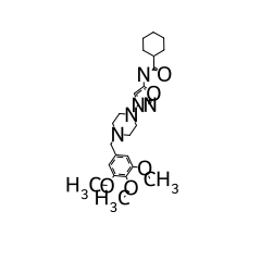 COc1cc(CN2CCN([n+]3cc([N-]C(=O)C4CCCCC4)on3)CC2)cc(OC)c1OC